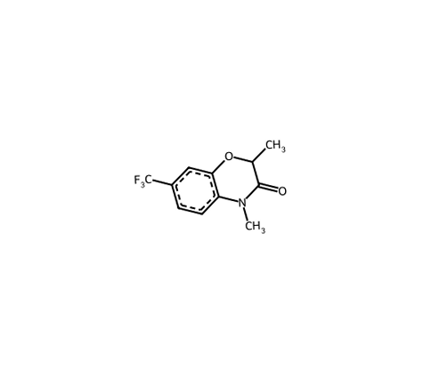 CC1Oc2cc(C(F)(F)F)ccc2N(C)C1=O